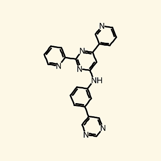 c1ccc(-c2nc(Nc3cccc(-c4cncnc4)c3)cc(-c3cccnc3)n2)nc1